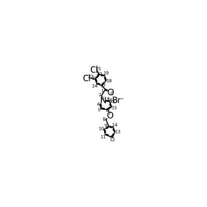 O=C(C[n+]1ccc(OCc2ccccc2)cc1)c1ccc(Cl)c(Cl)c1.[Br-]